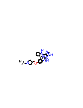 CCN1CCC(COc2ccc(Nc3nc(NC4CCCCC4)c4nc[nH]c4n3)c(C)c2)CC1